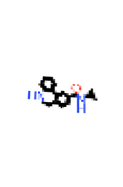 O=C(NC1CC1)c1ccc2c(c1)-c1ccccc1NCC2